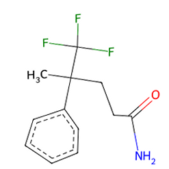 CC(CCC(N)=O)(c1ccccc1)C(F)(F)F